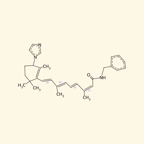 CC1=C(/C=C/C(C)=C/C=C/C(C)=C\C(=O)NCc2ccccc2)C(C)(C)CCC1n1ccnc1